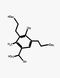 CCCCCCCCCCCCc1cc(C(S)CCCCCCCC)c(C)c(CCCCCCCCCCCC)c1O